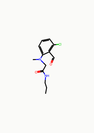 CCCNC(=O)CN(C)c1cccc(Cl)c1C=O